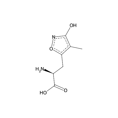 Cc1c(O)noc1C[C@H](N)C(=O)O